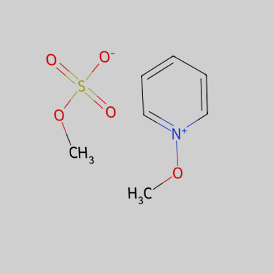 COS(=O)(=O)[O-].CO[n+]1ccccc1